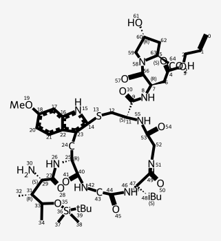 C=CCOC(=O)C[C@@H](NC(=O)[C@H]1CSc2[nH]c3cc(OC)ccc3c2C[C@@H](NC(=O)[C@@H](N)[C@@H](C)C(C)O[Si](C)(C)C(C)(C)C)C(=O)NCC(=O)N[C@@H]([C@@H](C)CC)C(=O)NCC(=O)N1)C(=O)N1C[C@H](O)C[C@H]1C(=O)O